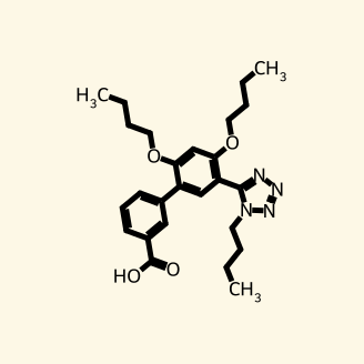 CCCCOc1cc(OCCCC)c(-c2nnnn2CCCC)cc1-c1cccc(C(=O)O)c1